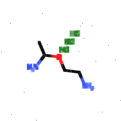 CC(N)OCCN.Cl.Cl.Cl